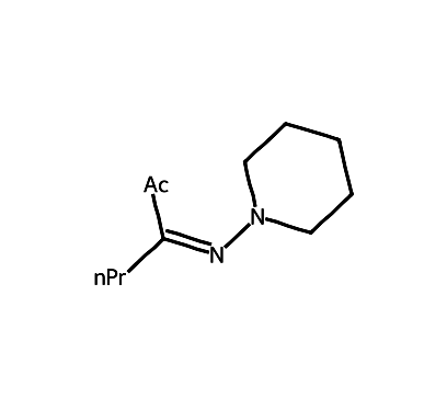 CCCC(=NN1CCCCC1)C(C)=O